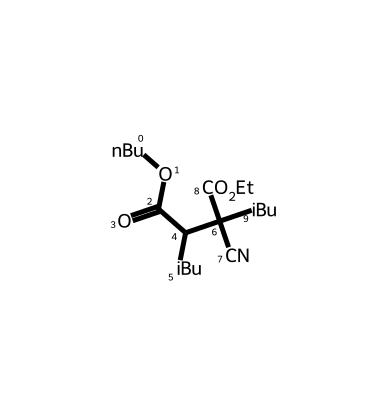 CCCCOC(=O)C(C(C)CC)C(C#N)(C(=O)OCC)C(C)CC